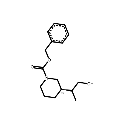 CC(CO)[C@H]1CCCN(C(=O)OCc2ccccc2)C1